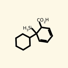 O=C(O)C1C=CC=CC1([SiH3])C1CCCCC1